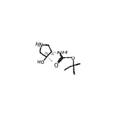 CC(C)(C)OC(=O)N[C@H]1CNC[C@]1(C)O